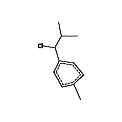 Cc1ccc(C(Cl)C(C)C)cc1